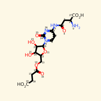 NC(CC(=O)Nc1ccn(C2OC(COC(=O)CCC(=O)O)C(O)C2O)c(=O)n1)C(=O)O